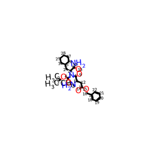 CC(C)(C)OC(=O)N(C(=O)[C@@H](N)CC(=O)OCc1ccccc1)[C@@H](CC1CCCCC1)C(N)=O